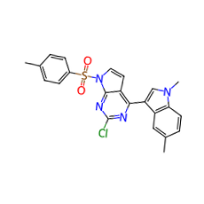 Cc1ccc(S(=O)(=O)n2ccc3c(-c4cn(C)c5ccc(C)cc45)nc(Cl)nc32)cc1